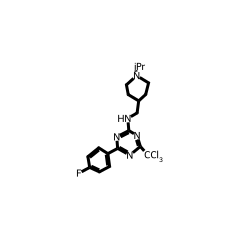 CC(C)N1CCC(CNc2nc(-c3ccc(F)cc3)nc(C(Cl)(Cl)Cl)n2)CC1